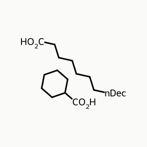 CCCCCCCCCCCCCCCCC(=O)O.O=C(O)C1CCCCC1